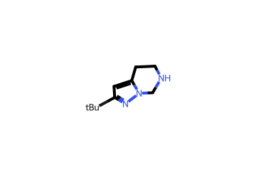 CC(C)(C)c1cc2n(n1)CNCC2